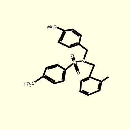 COc1ccc(CN(Cc2ccccc2C)S(=O)(=O)c2ccc(C(=O)O)cc2)cc1